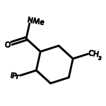 CNC(=O)C1CC(C)CCC1C(C)C